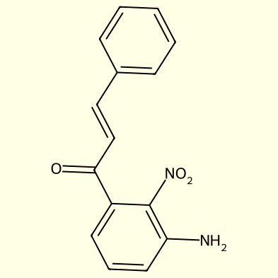 Nc1cccc(C(=O)C=Cc2ccccc2)c1[N+](=O)[O-]